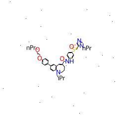 CCCOCCOc1ccc(-c2ccc3c(c2)/C=C(/C(=O)Nc2ccc([S+]([O-])Cc4cncn4CCC)cc2)CCCN3CC(C)C)cc1